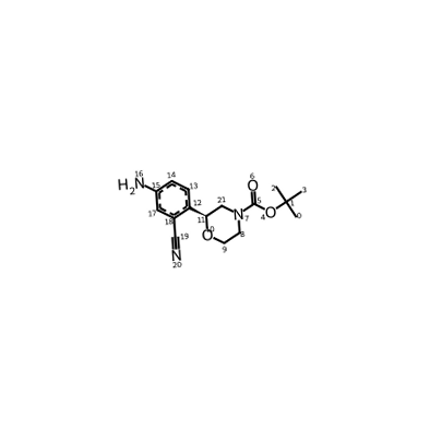 CC(C)(C)OC(=O)N1CCO[C@@H](c2ccc(N)cc2C#N)C1